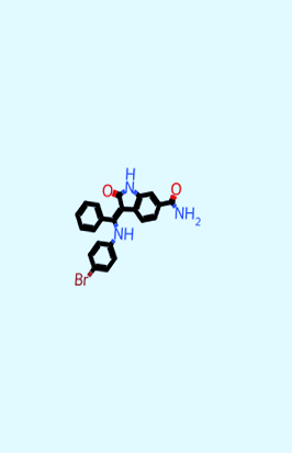 NC(=O)c1ccc2c(c1)NC(=O)C2=C(Nc1ccc(Br)cc1)c1ccccc1